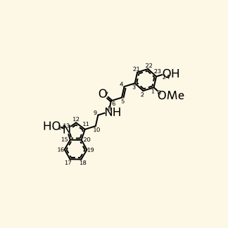 COc1cc(C=CC(=O)NCCc2cn(O)c3ccccc23)ccc1O